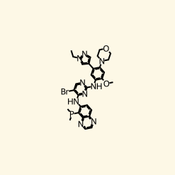 CCn1cc(-c2cc(Nc3ncc(Br)c(Nc4ccc5nccnc5c4P(C)C)n3)c(OC)cc2N2CCOCC2)cn1